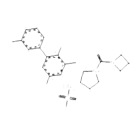 CCS(=O)(=O)N[C@H]1CCN(C(=O)N2CCC2)[C@H]1Cc1cc(F)cc(-c2cccc(F)c2)c1F